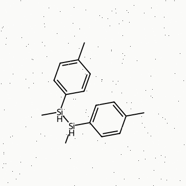 Cc1ccc([SiH](C)[SiH](C)c2ccc(C)cc2)cc1